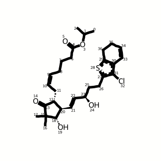 CC(C)OC(=O)CCC/C=C\C[C@H]1C(=O)C(C)(C)[C@@H](O)[C@@H]1/C=C/[C@H](O)CCc1sc2c(c1Cl)C=CCC2